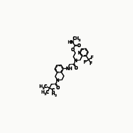 CNC(=O)OCCN(Cc1ncccc1C(F)(F)F)C(=O)CNc1cccc2c1CCN(C(=O)CC(C)(C)C)C2